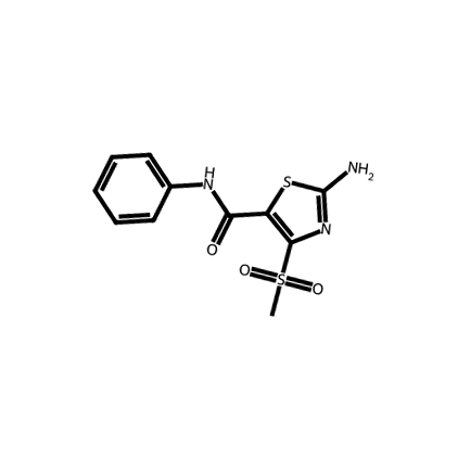 CS(=O)(=O)c1nc(N)sc1C(=O)Nc1ccccc1